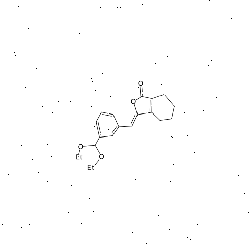 CCOC(OCC)c1cccc(C=C2OC(=O)C3=C2CCCC3)c1